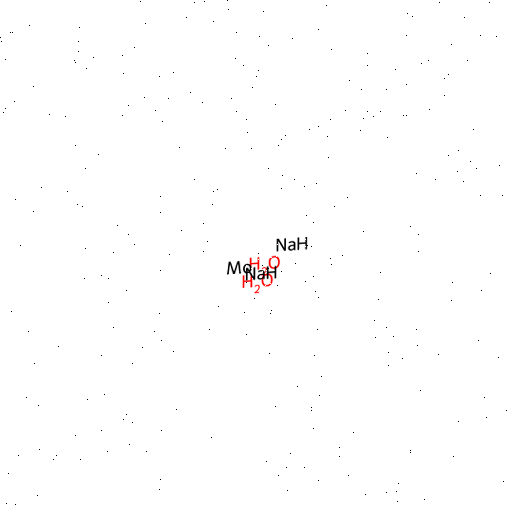 O.O.[Mo].[NaH].[NaH]